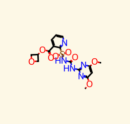 COc1cc(OC)nc(NC(=O)NS(=O)(=O)c2ncccc2C(=O)OC2COC2)n1